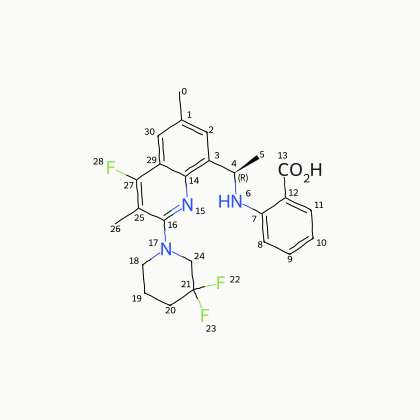 Cc1cc([C@@H](C)Nc2ccccc2C(=O)O)c2nc(N3CCCC(F)(F)C3)c(C)c(F)c2c1